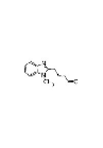 Cn1c(CCCC=O)nc2ccccc21